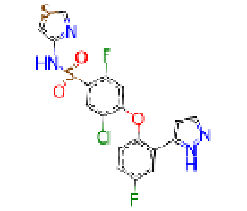 O=S(=O)(Nc1cscn1)c1cc(Cl)c(Oc2ccc(F)cc2-c2ccn[nH]2)cc1F